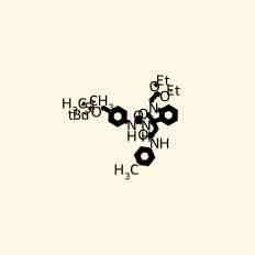 CCOC(CN1C(=O)C(CC(=O)Nc2ccc(C)cc2)(NC(=O)Nc2ccc(CO[Si](C)(C)C(C)(C)C)cc2)c2ccccc21)OCC